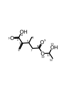 C=C(C(=O)O)C(C)CC(=O)OC(C)O